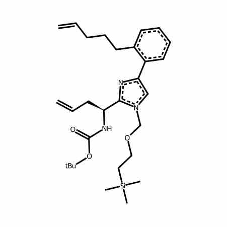 C=CCCCc1ccccc1-c1cn(COCC[Si](C)(C)C)c([C@H](CC=C)NC(=O)OC(C)(C)C)n1